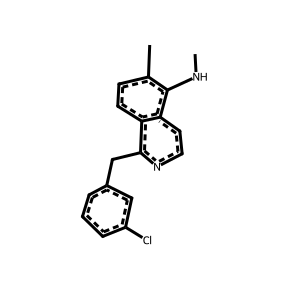 CNc1c(C)ccc2c(Cc3cccc(Cl)c3)nccc12